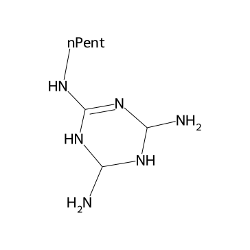 CCCCCNC1=NC(N)NC(N)N1